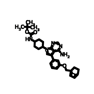 CC(C)(C)OC(=O)NC1CCC(n2cc(-c3cccc(OCC45CCC(CC4)O5)c3)c3c(N)ncnc32)CC1